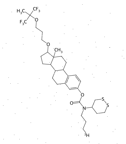 [2H]CCCN(C(=O)Oc1ccc2c(c1)CCC1C2CCC2(C)C(OCCCOC(C)(C(F)(F)F)C(F)(F)F)CCC12)C1CCSSC1